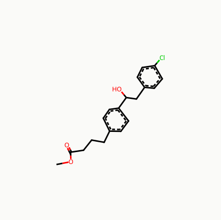 COC(=O)CCCc1ccc(C(O)Cc2ccc(Cl)cc2)cc1